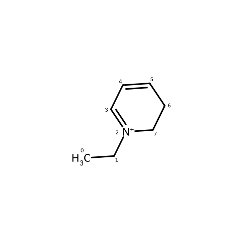 CC[N+]1=CC=CCC1